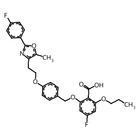 CCCOc1cc(F)cc(OCc2ccc(OCCc3nc(-c4ccc(F)cc4)oc3C)cc2)c1C(=O)O